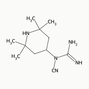 CC1(C)CC(N(C#N)C(=N)N)CC(C)(C)N1